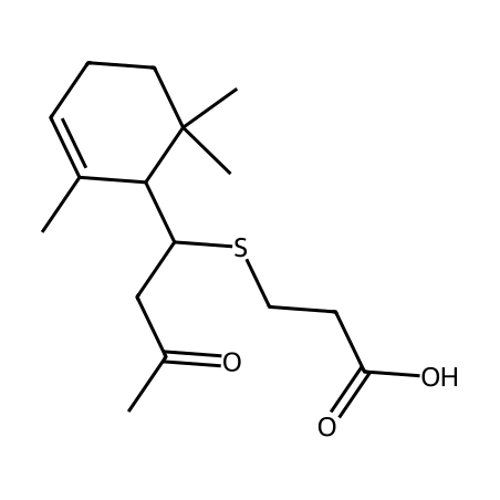 CC(=O)CC(SCCC(=O)O)C1C(C)=CCCC1(C)C